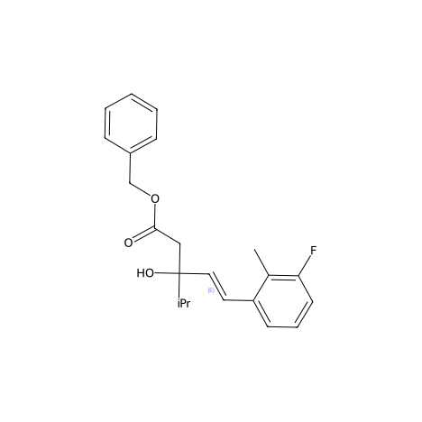 Cc1c(F)cccc1/C=C/C(O)(CC(=O)OCc1ccccc1)C(C)C